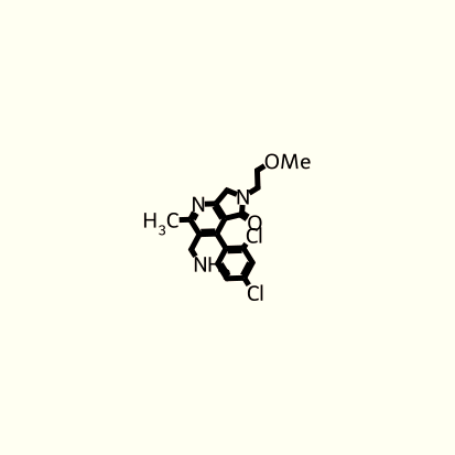 COCCN1Cc2nc(C)c(CN)c(-c3ccc(Cl)cc3Cl)c2C1=O